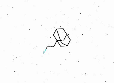 FCCC12CC3CC(CC(C3)C1)C2